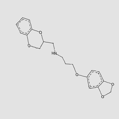 c1ccc2c(c1)OCC(CNCCCOc1ccc3c(c1)OCO3)O2